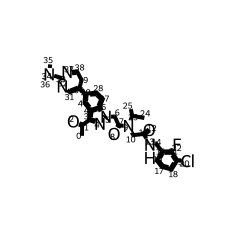 CC(=O)c1nn(CC(=O)N(CC(=O)NCc2cccc(Cl)c2F)C(C)C)c2ccc(C3=CN=C(N(C)C)N=CC3)cc12